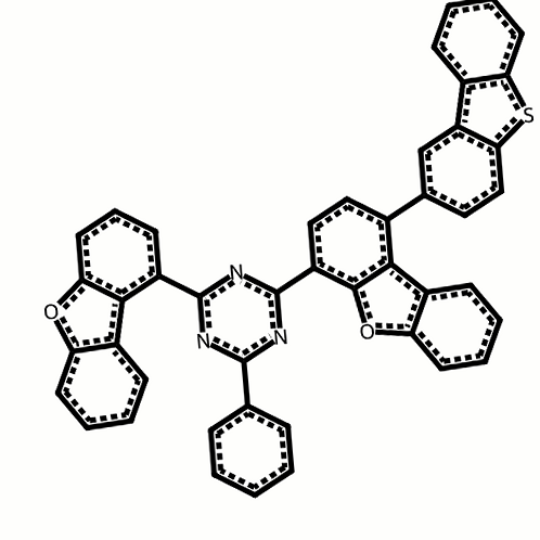 c1ccc(-c2nc(-c3ccc(-c4ccc5sc6ccccc6c5c4)c4c3oc3ccccc34)nc(-c3cccc4oc5ccccc5c34)n2)cc1